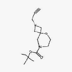 C#CCN1CC2(C1)CN(C(=O)OC(C)(C)C)CCO2